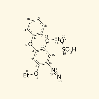 CCOc1cc(Oc2ccccc2)c(OCC)cc1[N+]#N.O=S(=O)([O-])O